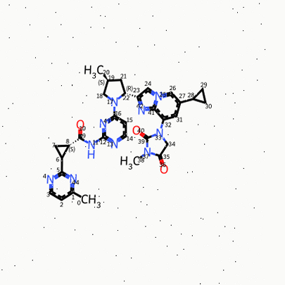 Cc1ccnc(C2C[C@@H]2C(=O)Nc2nccc(N3C[C@@H](C)C[C@@H]3c3cn4cc(C5CC5)cc(N5CC(=O)N(C)C5=O)c4n3)n2)n1